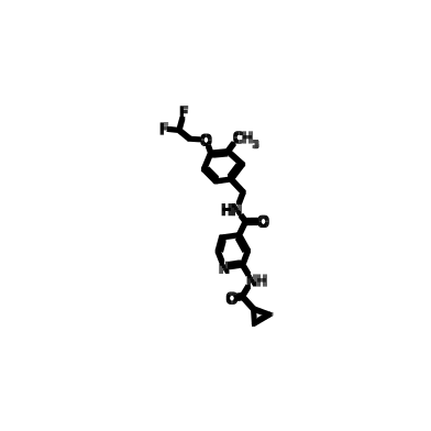 Cc1cc(CNC(=O)c2ccnc(NC(=O)C3CC3)c2)ccc1OCC(F)F